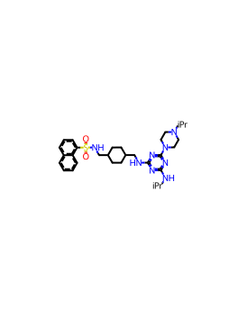 CC(C)Nc1nc(NCC2CCC(CNS(=O)(=O)c3cccc4ccccc34)CC2)nc(N2CCN(C(C)C)CC2)n1